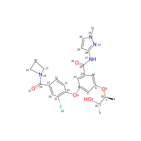 C[C@H](O)[C@H](C)Oc1cc(Oc2ccc(C(=O)N3CCC3)cc2F)cc(C(=O)Nc2ccn(C)n2)c1